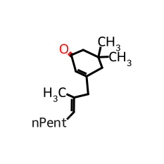 CCCCC/C=C(\C)CC1=CC(=O)CC(C)(C)C1